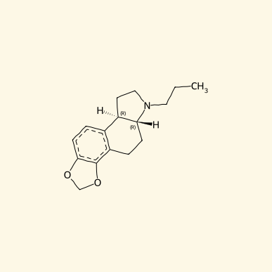 CCCN1CC[C@@H]2c3ccc4c(c3CC[C@H]21)OCO4